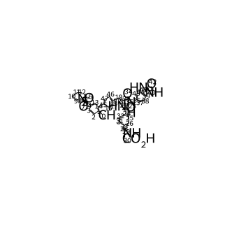 Cc1ccc(S(=O)(=O)N2CCCC2)cc1-c1ccc(C[C@H](NC(=O)C2CCC(CNC(=O)O)CC2)C(=O)Nc2ccc3[nH]c(=O)[nH]c3c2)cc1